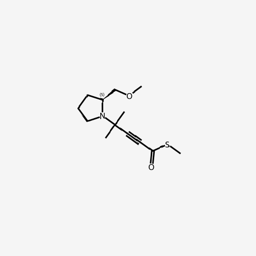 COC[C@@H]1CCCN1C(C)(C)C#CC(=O)SC